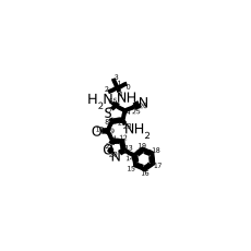 CC(C)(C)NC1(N)SC(C(=O)c2cc(-c3ccccc3)no2)=C(N)C1C#N